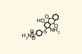 Nc1c(Sc2ccc(S(N)(=O)=O)cc2)cc(O)c2c1C(=O)c1ccccc1C2=O